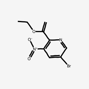 C=C(OCC)c1ncc(Br)cc1[N+](=O)[O-]